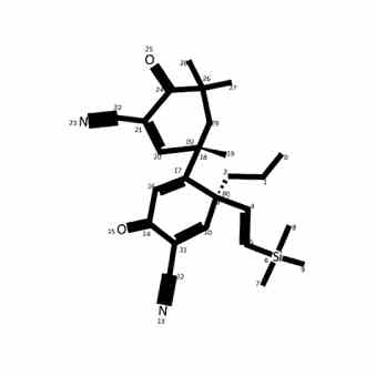 CCC[C@]1(C=C[Si](C)(C)C)C=C(C#N)C(=O)C=C1[C@]1(C)C=C(C#N)C(=O)C(C)(C)C1